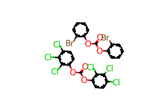 O=C(Oc1ccc(Cl)c(Cl)c1Cl)Oc1ccc(Cl)c(Cl)c1Cl.O=C(Oc1ccccc1Br)Oc1ccccc1Br